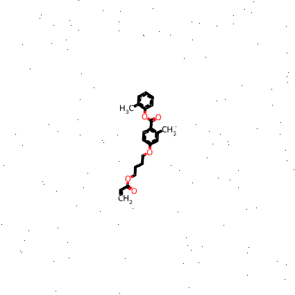 C=CC(=O)OCCCCOc1ccc(C(=O)Oc2cc[c]cc2C)c(C)c1